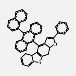 C1=CCC2C(=C1)SC1=C2C(c2c3ccccc3c(-c3cccc4ccccc34)c3ccccc23)=C2C=C(c3ccccc3)OC2C1